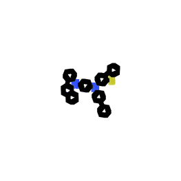 c1ccc(-c2ccc(N(c3ccc(-n4c5ccccc5c5ccc6ccccc6c54)cc3)c3ccc4c(c3)sc3ccccc34)cc2)cc1